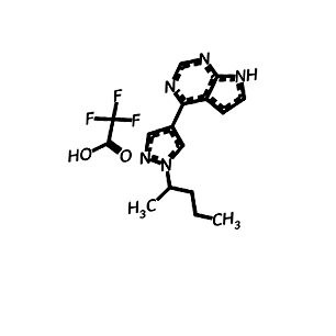 CCCC(C)n1cc(-c2ncnc3[nH]ccc23)cn1.O=C(O)C(F)(F)F